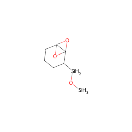 [SiH3]O[SiH2]C1CCCC23OC12O3